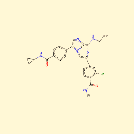 CC(C)CNc1nc(-c2ccc(C(=O)NC(C)C)c(F)c2)cn2c(-c3ccc(C(=O)NC4CC4)cc3)cnc12